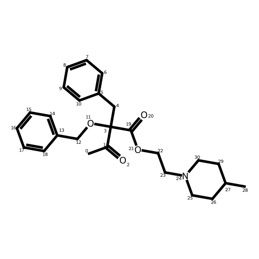 CC(=O)C(Cc1ccccc1)(OCc1ccccc1)C(=O)OCCN1CCC(C)CC1